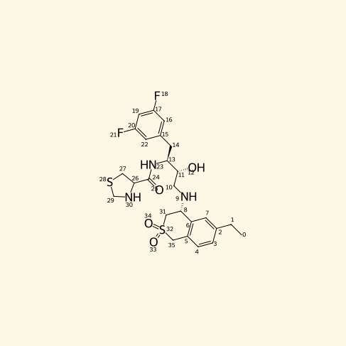 CCc1ccc2c(c1)[C@@H](NC[C@@H](O)[C@H](Cc1cc(F)cc(F)c1)NC(=O)C1CSCN1)CS(=O)(=O)C2